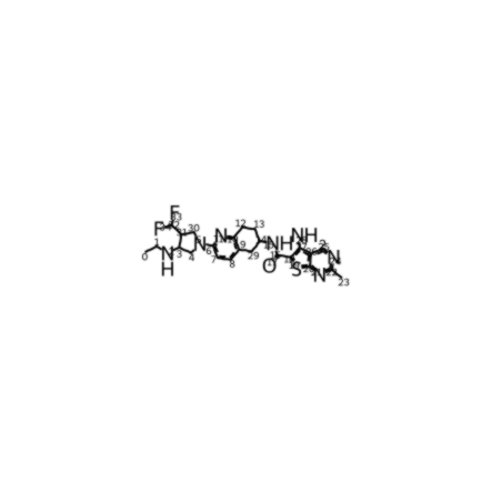 CCNC1CN(c2ccc3c(n2)CCC(NC(=O)c2sc4nc(C)ncc4c2N)C3)CC1C(F)F